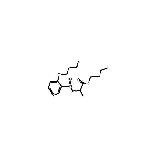 CCCCOC(=O)C(C)C[PH](=O)c1ccccc1OCCCC